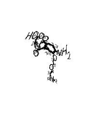 CN(C)CCOCCOc1cc2c(cc1N)C(=O)N(CC(=O)O)C2=O